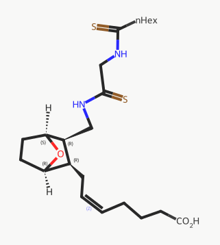 CCCCCCC(=S)NCC(=S)NC[C@H]1[C@@H](C/C=C\CCCC(=O)O)[C@H]2CC[C@@H]1O2